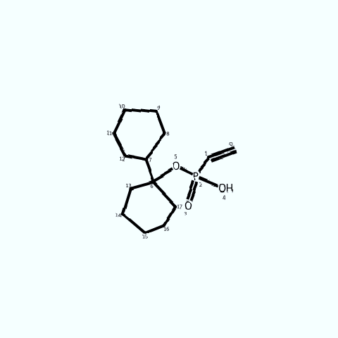 C=CP(=O)(O)OC1(C2CCCCC2)CCCCC1